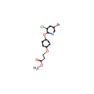 COC(=O)CCOc1ccc(Oc2ncc(Br)cc2Cl)cc1